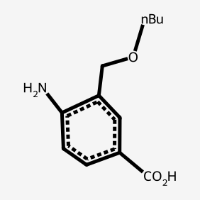 CCCCOCc1cc(C(=O)O)ccc1N